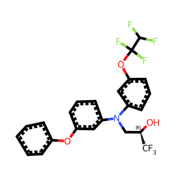 O[C@H](CN(c1cccc(Oc2ccccc2)c1)c1cccc(OC(F)(F)C(F)F)c1)C(F)(F)F